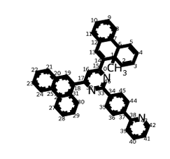 CC12C=CC=CC1c1ccccc1C=C2c1cc(-c2cc3ccccc3c3ccccc23)nc(-c2ccc(-c3ccccn3)cc2)n1